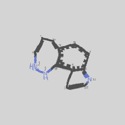 C1=CNNc2c3c(ccc2=C1)=NC=C3